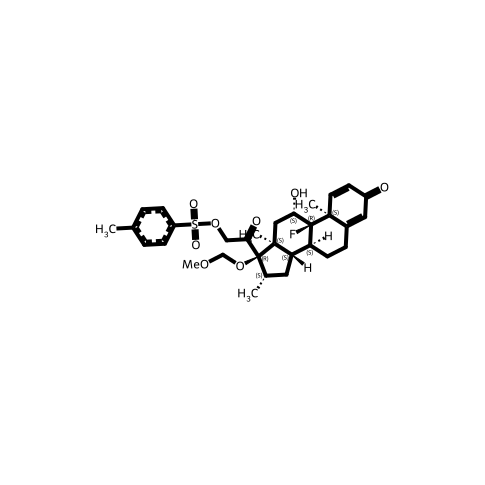 COCO[C@]1(C(=O)COS(=O)(=O)c2ccc(C)cc2)[C@@H](C)C[C@H]2[C@@H]3CCC4=CC(=O)C=C[C@]4(C)[C@@]3(F)[C@@H](O)C[C@@]21C